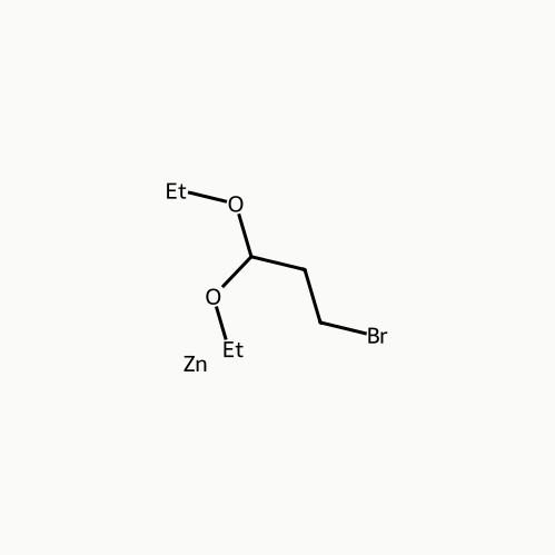 CCOC(CCBr)OCC.[Zn]